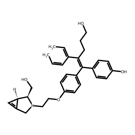 C\C=C/C(=C\C)C(/CCCO)=C(/c1ccc(O)cc1)c1ccc(OCCN2CC3=C[C@H]3[C@H]2CO)cc1